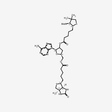 CN[C@@H]1[C@H](CCCCC(=O)OC2C[C@@H](COC(=O)CCCC[C@@H]3SC[C@]4(C)NC(=O)N[C@H]34)O[C@H]2n2cnc3c(N)ncnc32)SCC1(C)C